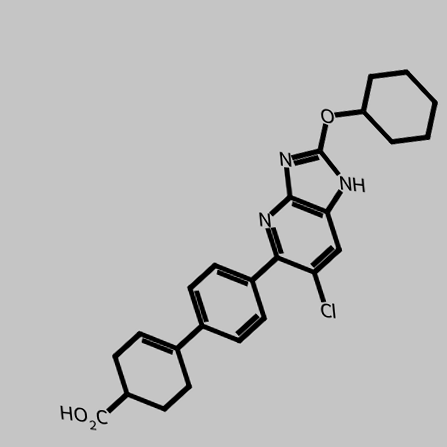 O=C(O)C1CC=C(c2ccc(-c3nc4nc(OC5CCCCC5)[nH]c4cc3Cl)cc2)CC1